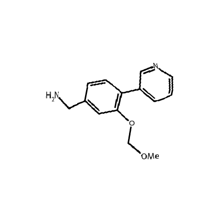 COCOc1cc(CN)ccc1-c1cccnc1